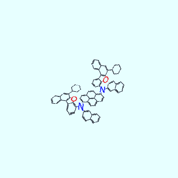 c1ccc2cc(N(c3ccc4ccc5c(N(c6ccc7ccccc7c6)c6cccc7c6oc6c(C8CCCCC8)cc8ccccc8c67)ccc6ccc3c4c65)c3cccc4c3oc3c(C5CCCCC5)cc5ccccc5c34)ccc2c1